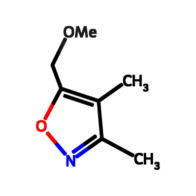 COCc1onc(C)c1C